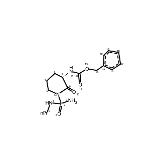 CCCNP(N)(=O)N1CCC[C@H](NC(=O)OCc2ccccc2)C1=O